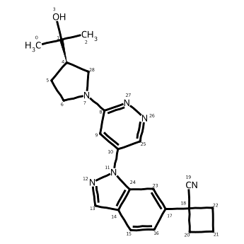 CC(C)(O)[C@@H]1CCN(c2cc(-n3ncc4ccc(C5(C#N)CCC5)cc43)cnn2)C1